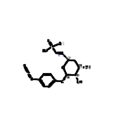 O=P(O)(O)/C=C/[C@@H]1C[C@H](O)[C@H](O)[C@@H](Oc2ccc(N=C=S)cc2)O1